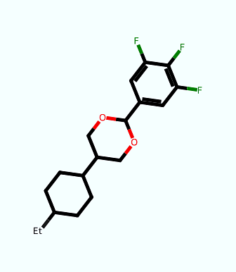 CCC1CCC(C2COC(c3cc(F)c(F)c(F)c3)OC2)CC1